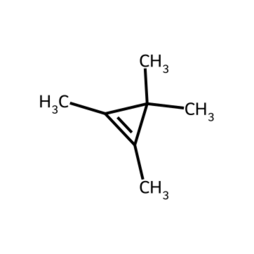 CC1=C(C)C1(C)C